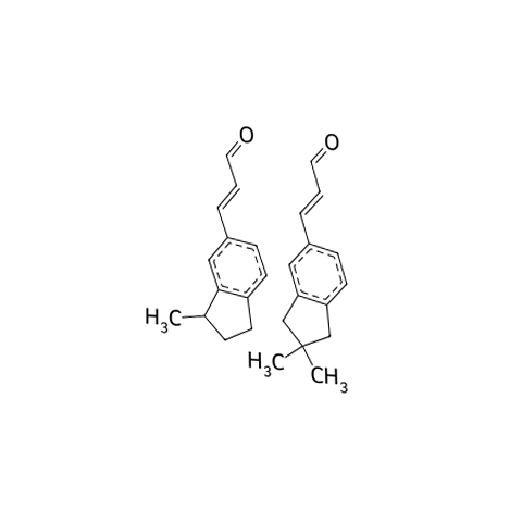 CC1(C)Cc2ccc(C=CC=O)cc2C1.CC1CCc2ccc(C=CC=O)cc21